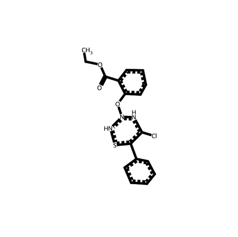 CCOC(=O)c1ccccc1On1[nH]sc(-c2ccccc2)c(Cl)[nH]1